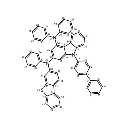 c1ccc(-c2ccc(-n3c4ccccc4c4c(N(c5ccccc5)c5ccccc5)cc(N(c5ccccc5)c5ccc6c(c5)sc5ccccc56)cc43)cc2)cc1